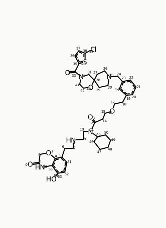 O=C1COc2c(CCNCCN(C(=O)CCOCCc3cccc(CN4CCC5(CC4)CN(C(=O)c4ccc(Cl)s4)CCO5)c3)C3CCCCC3)ccc(O)c2N1